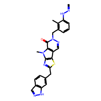 C=NNc1cccc(Cn2ncc3c4sc(Cc5ccc6cn[nH]c6c5)nc4n(C)c3c2=O)c1C